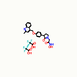 Cc1cc(COc2ccc(C3CCN(CC(=O)NO)C3=O)cc2)c2ccccc2n1.O=C(O)C(F)(F)F.O=C(O)C(F)(F)F